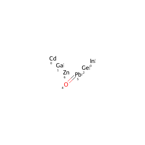 [Cd].[Ga].[Ge].[In].[O]=[Pb].[Zn]